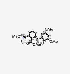 CO/N=C(\C)c1cccc(N(C=O)c2nc(OC)cc(OC)n2)c1C(=O)OC